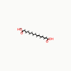 O=C(O)C=CC=CC=CCCCCCCCC(=O)O